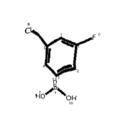 Fc1cccc(Cl)c1.OBO